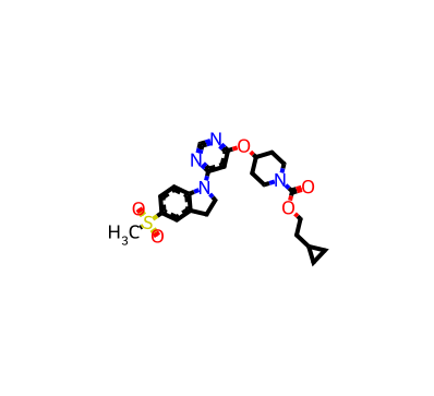 CS(=O)(=O)c1ccc2c(c1)CCN2c1cc(OC2CCN(C(=O)OCCC3CC3)CC2)ncn1